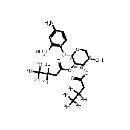 [2H]C([2H])([2H])C([2H])([2H])CC(=O)O[C@@H]1[C@@H](OC(=O)CC([2H])([2H])C([2H])([2H])[2H])[C@H](Oc2ccc(N)cc2C(=O)O)OC[C@H]1O